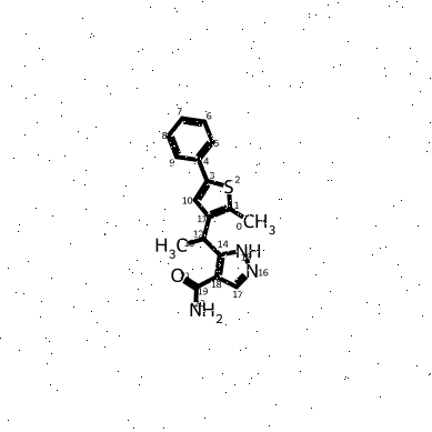 Cc1sc(-c2ccccc2)cc1C(C)c1[nH]ncc1C(N)=O